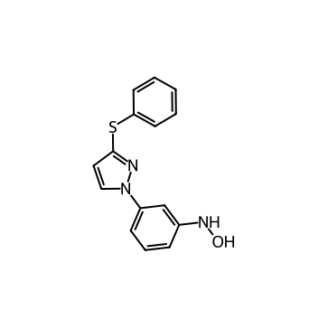 ONc1cccc(-n2ccc(Sc3ccccc3)n2)c1